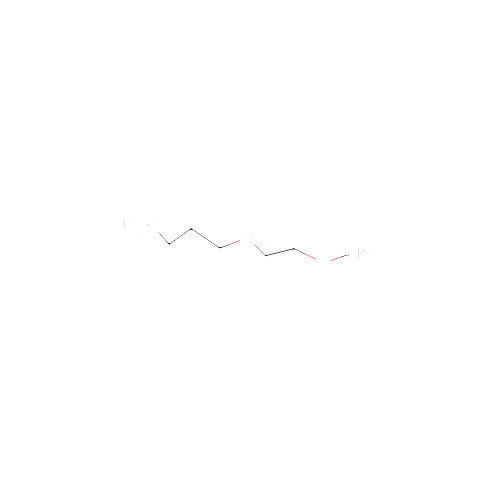 [CH2]CCOCCOCCCC(=O)O